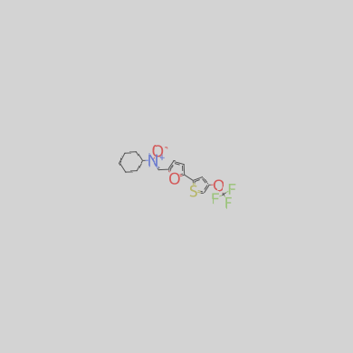 [O-][N+](=Cc1ccc(-c2cc(OC(F)(F)F)cs2)o1)C1CCCCC1